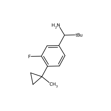 CC1(c2ccc(C(N)C(C)(C)C)cc2F)CC1